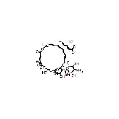 C/C=C/C=C/C(=O)[O-].C[C@@H]1C/C=C/C=C/C=C/C=C/[C@H](O[C@@H]2O[C@H](C)[C@@H](O)[C@H](N)[C@@H]2O)C[C@@H]2O[C@](O)(C[C@@H](O)C[C@H]3O[C@@H]3/C=C/C(=O)O1)C[C@H](O)[C@H]2C(=O)O.[K+]